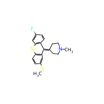 CSc1ccc2c(c1)C(=C1CCN(C)CC1)c1ccc(F)cc1S2